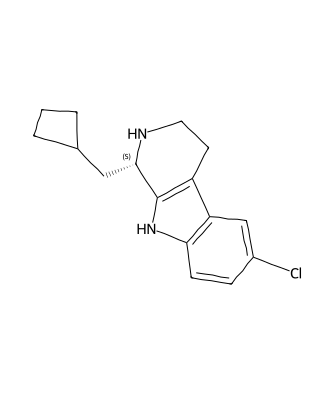 Clc1ccc2[nH]c3c(c2c1)CCN[C@H]3CC1CCC1